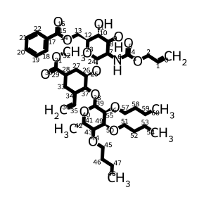 C=CCOC(=O)NC1C(O)[C@@H](O)[C@H](COC(=O)c2ccccc2)O[C@H]1O[C@@H]1CC(C(=O)OC)CC(C=C)C1OC1O[C@@H](C)C(OCCCC)[C@H](OCCCC)[C@@H]1OCCCC